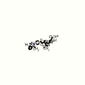 C=NN(/C(=N\N)N1CCN(C(=O)C(=O)c2c[nH]c3c(-c4cc(C(=O)O)[nH]n4)ncc(OC)c23)CC1)c1ccccc1